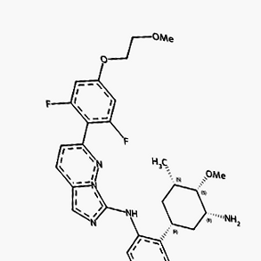 COCCOc1cc(F)c(-c2ccc3cnc(Nc4cnccc4[C@H]4C[C@@H](N)[C@@H](OC)[C@@H](C)C4)n3n2)c(F)c1